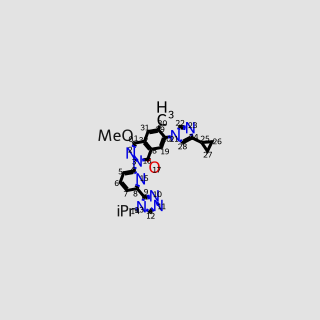 COc1nn(-c2cccc(-c3nncn3C(C)C)n2)c(=O)c2cc(-n3cnc(C4CC4)c3)c(C)cc12